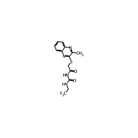 Cc1nc2ccccc2nc1SCC(=O)NC(=O)NCC(F)(F)F